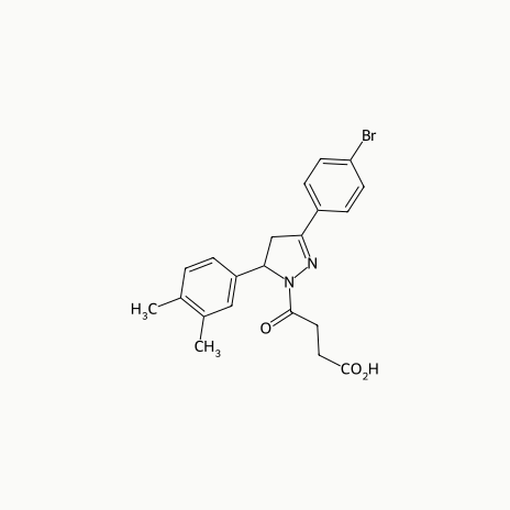 Cc1ccc(C2CC(c3ccc(Br)cc3)=NN2C(=O)CCC(=O)O)cc1C